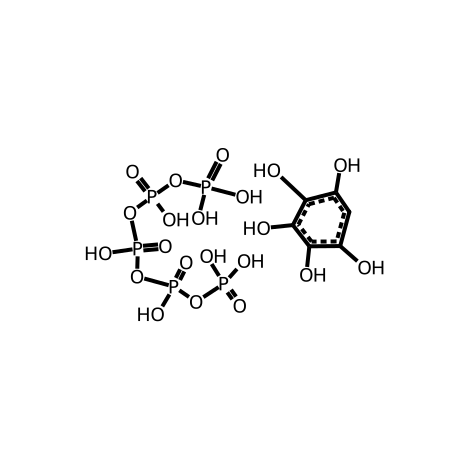 O=P(O)(O)OP(=O)(O)OP(=O)(O)OP(=O)(O)OP(=O)(O)O.Oc1cc(O)c(O)c(O)c1O